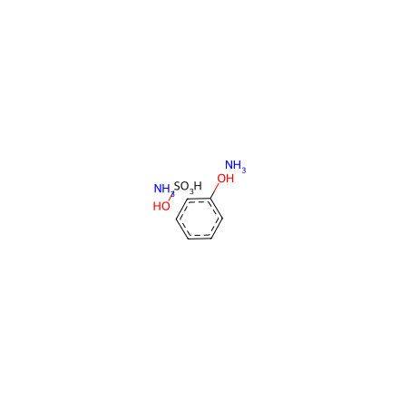 N.N.O=S(=O)(O)O.Oc1ccccc1